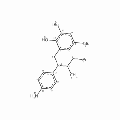 CC(C)CC(C)N(Cc1cc(C(C)(C)C)cc(C(C)(C)C)c1O)c1ccc(N)cc1